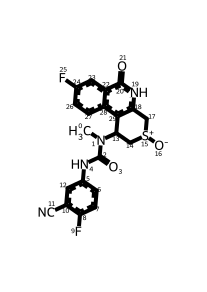 CN(C(=O)Nc1ccc(F)c(C#N)c1)C1C[S+]([O-])Cc2[nH]c(=O)c3cc(F)ccc3c21